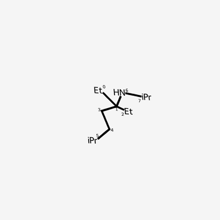 CCC(CC)(CCC(C)C)NC(C)C